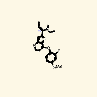 C=CN(C)/C(=C\C)c1cc2nccc(Oc3ccc(NC)cc3F)c2s1